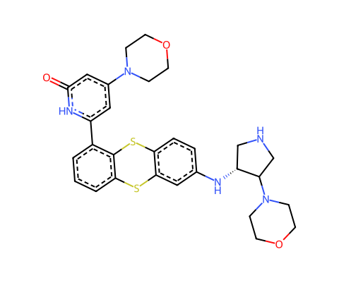 O=c1cc(N2CCOCC2)cc(-c2cccc3c2Sc2ccc(N[C@@H]4CNCC4N4CCOCC4)cc2S3)[nH]1